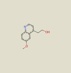 COc1ccc2nccc(CCO)c2c1